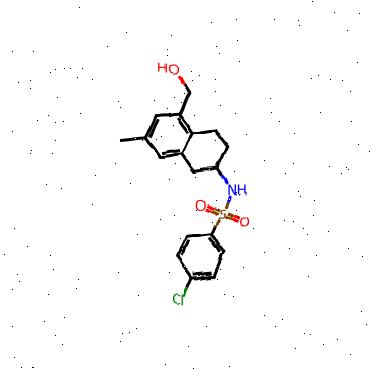 Cc1cc(CO)c2c(c1)CC(NS(=O)(=O)c1ccc(Cl)cc1)CC2